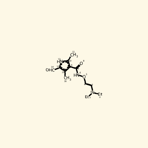 CCN(CC)CCONC(=O)c1c(C)[nH]c(C=O)c1C